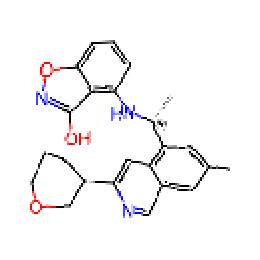 Cc1cc([C@@H](C)Nc2cccc3onc(O)c23)c2cc(C3CCCOC3)ncc2c1